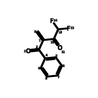 C=C(C(=O)c1ccccc1)C(=O)C(F)F